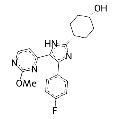 COc1nccc(-c2[nH]c([C@H]3CC[C@@H](O)CC3)nc2-c2ccc(F)cc2)n1